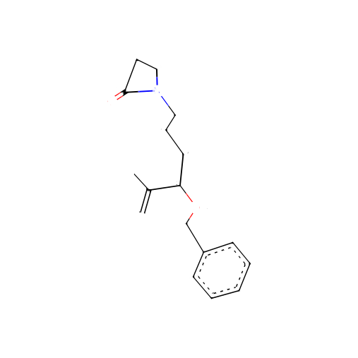 C=C(C)C(CCCN1CCC1=O)OCc1ccccc1